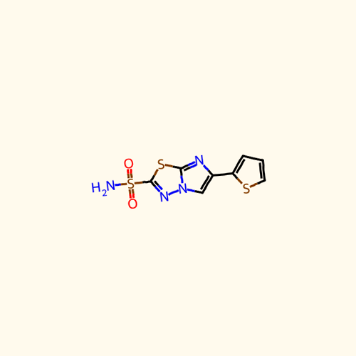 NS(=O)(=O)c1nn2cc(-c3cccs3)nc2s1